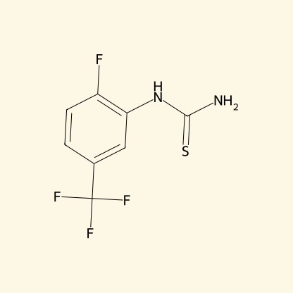 NC(=S)Nc1cc(C(F)(F)F)ccc1F